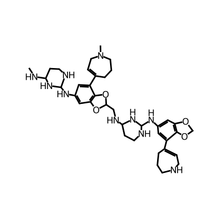 CNC1CCNC(Nc2cc3c(c(C4=CCN(C)CCC4)c2)OC(CNC2CCNC(Nc4cc5c(c(C6=CCNCCC6)c4)OCO5)N2)O3)N1